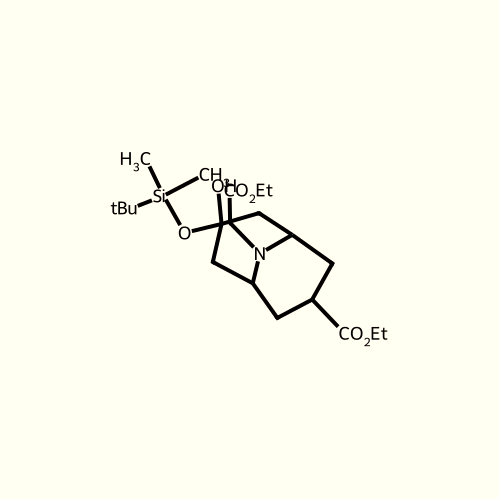 CCOC(=O)CN1C2CC(C(=O)OCC)CC1CC(O)(O[Si](C)(C)C(C)(C)C)C2